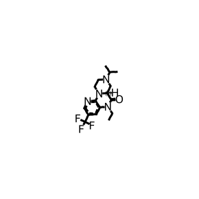 CCN1C(=O)[C@H]2CN(C(C)C)CCN2c2ncc(C(F)(F)F)cc21